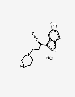 Cc1ccc2scc(C(=C=O)CCN3CCNCC3)c2c1.Cl